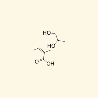 CC(O)CO.CC=C(C)C(=O)O